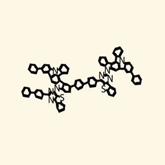 c1ccc(-c2ccc(-c3nc(-n4c5ccc(-c6ccc(-c7ccc(-c8nc(-n9c%10ccccc%10c%10c%11c%12ccccc%12n%12c%13ccc(-c%14ccccc%14)cc%13c(cc%109)c%11%12)nc9c8sc8ccccc89)cc7)cc6)cc5c5c6c7ccccc7n7c8ccc(-c9ccccc9)cc8c(cc54)c67)c4sc5ccccc5c4n3)cc2)cc1